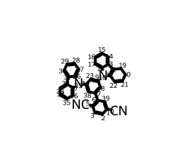 N#Cc1ccc(C#N)c(-c2cc(-n3c4c(c5ccccc53)CCC=C4)cc(-n3c4ccccc4c4ccccc43)c2)c1